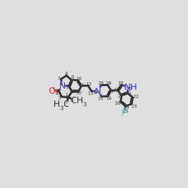 CC1(C)CC(=O)N2CCc3cc(CCN4CC=C(c5c[nH]c6ccc(F)cc56)CC4)cc1c32